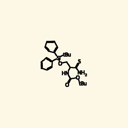 CC(C)(C)OC(=O)NC(CO[Si](c1ccccc1)(c1ccccc1)C(C)(C)C)C(N)=S